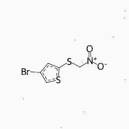 O=[N+]([O-])CSc1cc(Br)cs1